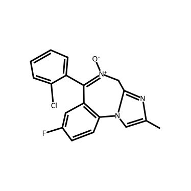 Cc1cn2c(n1)C[N+]([O-])=C(c1ccccc1Cl)c1cc(F)ccc1-2